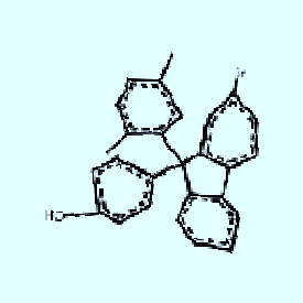 Cc1ccc(C)c(C2(c3ccc(O)cc3)c3ccccc3-c3ccc(Br)cc32)c1